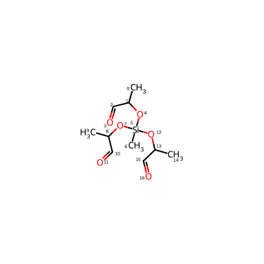 CC(C=O)O[Si](C)(OC(C)C=O)OC(C)C=O